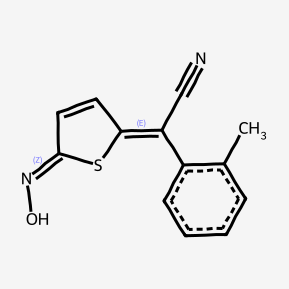 Cc1ccccc1/C(C#N)=C1C=C/C(=N/O)S/1